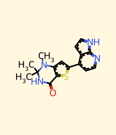 CN1c2cc(-c3ccnc4[nH]ccc34)sc2C(=O)NC1(C)C